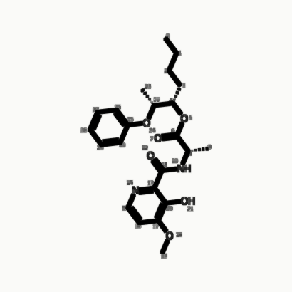 CCCC[C@H](OC(=O)[C@H](C)NC(=O)c1nccc(OC)c1O)[C@@H](C)Oc1ccccc1